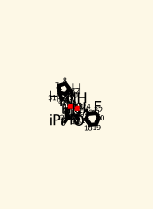 Cc1cc(N2C[C@H]3CC[C@@H](C2)[C@@H]3Nc2nc(Oc3cccc(F)c3Cl)n(C(C)C)n2)ncn1